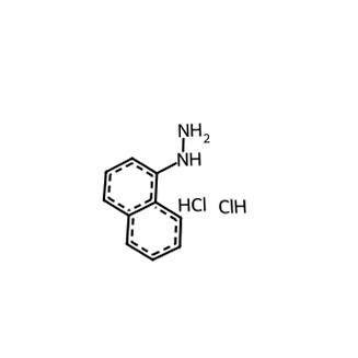 Cl.Cl.NNc1cccc2ccccc12